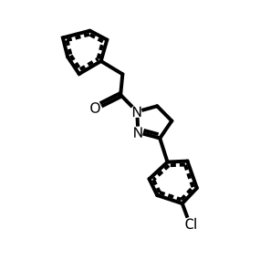 O=C(Cc1ccccc1)N1CCC(c2ccc(Cl)cc2)=N1